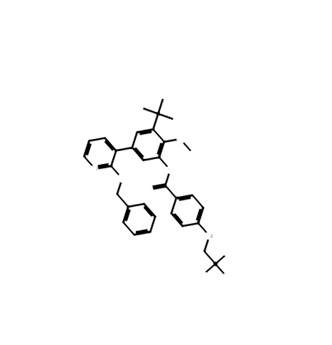 COc1c(NC(=O)c2ccc(NCC(F)(F)F)cc2)cc(-c2cccnc2OCc2ccccc2)cc1C(C)(C)C